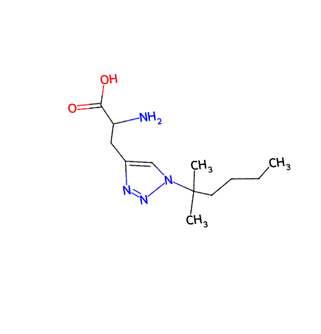 CCCCC(C)(C)n1cc(CC(N)C(=O)O)nn1